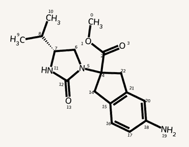 COC(=O)C1(N2C[C@@H](C(C)C)NC2=O)Cc2ccc(N)cc2C1